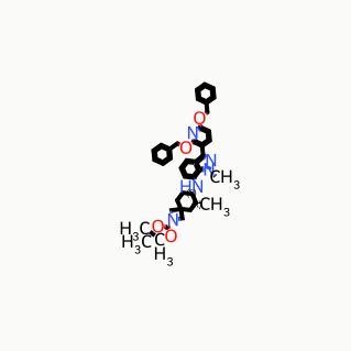 C[C@@H]1CC2(CC[C@@H]1Nc1cccc3c(-c4ccc(OCc5ccccc5)nc4OCc4ccccc4)nn(C)c13)CN(C(=O)OC(C)(C)C)C2